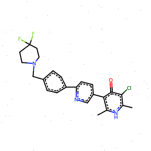 Cc1[nH]c(C)c(-c2ccc(-c3ccc(CN4CCC(F)(F)CC4)cc3)nc2)c(=O)c1Cl